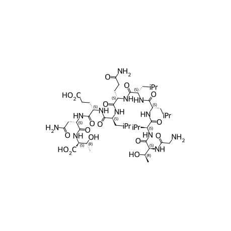 CC(C)C[C@H](NC(=O)[C@H](CCC(N)=O)NC(=O)[C@H](CC(C)C)NC(=O)[C@H](CC(C)C)NC(=O)[C@@H](NC(=O)[C@@H](NC(=O)CN)[C@@H](C)O)C(C)C)C(=O)N[C@@H](CCC(=O)O)C(=O)N[C@@H](CC(N)=O)C(=O)N[C@H](C(=O)O)[C@@H](C)O